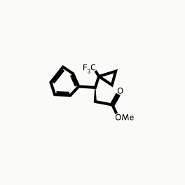 COC(=O)C[C@@H](c1ccccc1)C1(C(F)(F)F)CC1